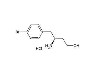 Cl.N[C@H](CCO)Cc1ccc(Br)cc1